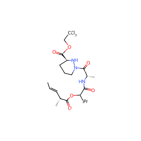 C/C=C/[C@@H](C)C(=O)OC(C(=O)N[C@@H](C)C(=O)N1CCC[C@@H](C(=O)OCC(Cl)(Cl)Cl)N1)C(C)C